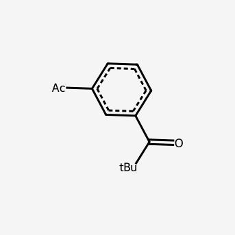 CC(=O)c1cccc(C(=O)C(C)(C)C)c1